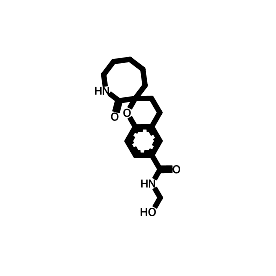 O=C(NCO)c1ccc2c(c1)CCC1(CCCCCNC1=O)O2